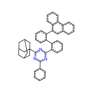 c1ccc(-c2nc(-c3ccccc3-c3ccccc3-c3cc4ccccc4c4ccccc34)nc(C34CC5CC(CC(C5)C3)C4)n2)cc1